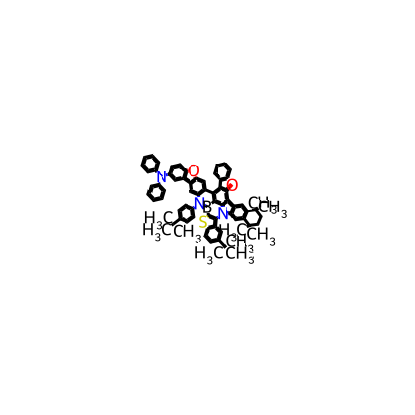 CC(C)(C)c1ccc(N2B3c4sc5ccc(C(C)(C)C)cc5c4-n4c5cc6c(cc5c5c7oc8ccccc8c7c(c3c54)-c3cc4oc5ccc(N(c7ccccc7)c7ccccc7)cc5c4cc32)C(C)(C)CCC6(C)C)cc1